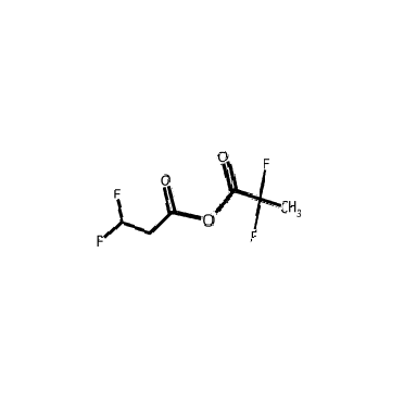 CC(F)(F)C(=O)OC(=O)CC(F)F